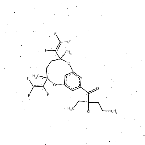 CCCC(Cl)(CC)C(=O)c1cc2cc(c1)OC(C)(C(F)=C(F)F)CCC(C)(C(F)=C(F)F)O2